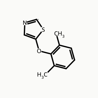 Cc1cccc(C)c1Oc1cn[c]s1